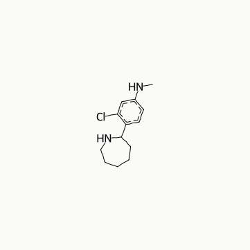 CNc1ccc(C2CCCCCN2)c(Cl)c1